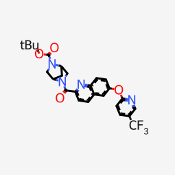 CC(C)(C)OC(=O)N1CC2CC1CN2C(=O)c1ccc2cc(Oc3ccc(C(F)(F)F)cn3)ccc2n1